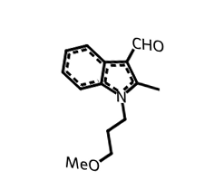 COCCCn1c(C)c(C=O)c2ccccc21